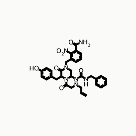 C=CCN1CC(=O)N2C(Cc3ccc(O)cc3)C(=O)N(Cc3cccc(C(N)=O)c3[N+](=O)[O-])CC2N1C(=O)NCc1ccccc1